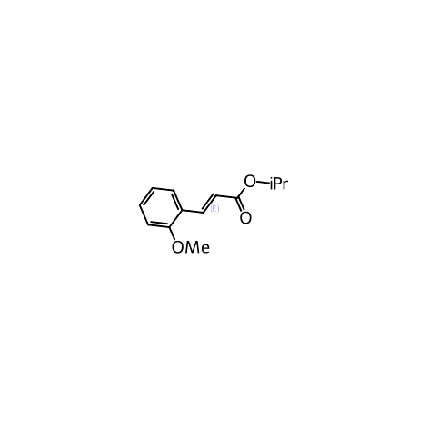 COc1ccccc1/C=C/C(=O)OC(C)C